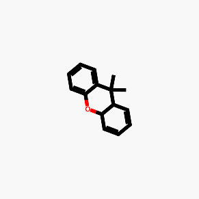 CC1(C)c2ccccc2OC2C=CC=CC21